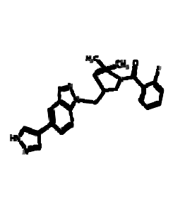 CC1(C)CC(Cn2ncc3cc(-c4cn[nH]c4)ccc32)CN1C(=O)c1ccccc1F